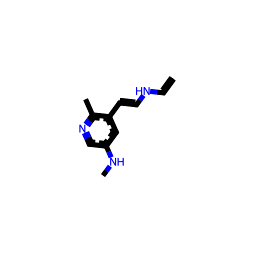 C=CN/C=C/c1cc(NC)cnc1C